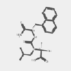 CC(C)CN(C(=O)N[C@@H](Cc1cccc2ccccc12)C(N)=O)[C@@](C)(O)C(=O)O